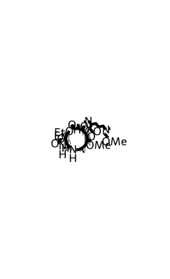 CC[C@H]1OC(=O)C(C)C(=O)[C@H](C)[C@@H](OC2OC(CN(C)CCOC)CC(N(C)C)C2O)[C@](C)(OC)C[C@@H](C)CN[C@H](C)[C@H]2NC(=O)O[C@@]21CC